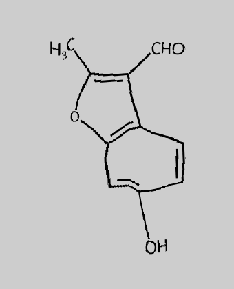 Cc1oc2cc(O)ccc2c1C=O